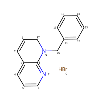 Br.C1=Cc2cccnc2N(Cc2ccccc2)C1